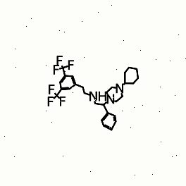 FC(F)(F)c1cc(CCNCC(c2ccccc2)N2CCN(C3CCCCC3)CC2)cc(C(F)(F)F)c1